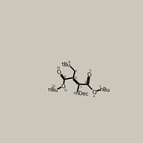 CCCCCCCCCCC(C(=O)OCCCC)=C(CC(C)(C)C)C(=O)OCCCC